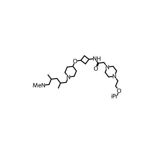 CNCC(C)CC(C)CN1CCC(OC2CC(NC(=O)CN3CCN(CCOC(C)C)CC3)C2)CC1